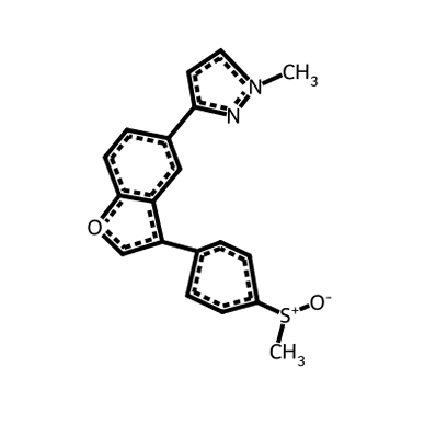 Cn1ccc(-c2ccc3occ(-c4ccc([S+](C)[O-])cc4)c3c2)n1